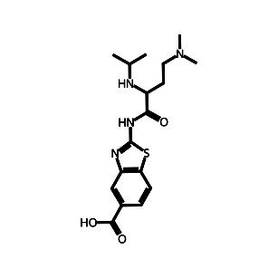 CC(C)NC(CCN(C)C)C(=O)Nc1nc2cc(C(=O)O)ccc2s1